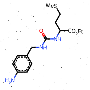 CCOC(=O)C(CCSC)NC(=O)NCc1ccc(N)cc1